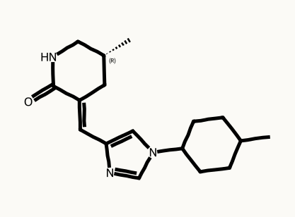 CC1CCC(n2cnc(C=C3C[C@@H](C)CNC3=O)c2)CC1